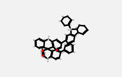 C1=CC2c3ccc(-c4ccc5c(c4)Sc4ccccc4C54c5ccccc5Sc5ccc(-c6ccccc6)cc54)cc3N(C3=CCCCC3)C2CC1